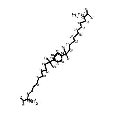 CC(C)C(N)CCCCCCCCCC(C)(C)c1ccc(C(C)(C)CCCCCCCCCC(N)C(C)C)cc1